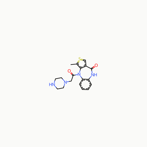 Cc1scc2c1N(C(=O)CN1CCNCC1)c1ccccc1NC2=O